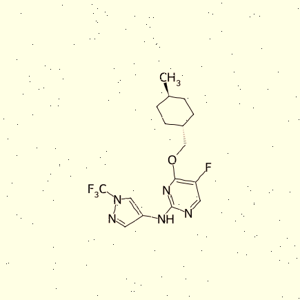 C[C@H]1CC[C@H](COc2nc(Nc3cnn(C(F)(F)F)c3)ncc2F)CC1